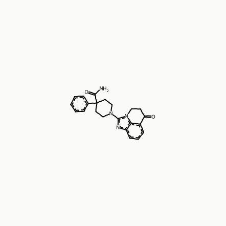 NC(=O)C1(c2ccccc2)CCN(c2nc3cccc4c3n2CCC4=O)CC1